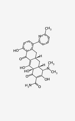 Cc1cccc(-c2ccc(O)c3c2C[C@@H]2C[C@@H]4C(N(C)C)C(O)=C(C(N)=O)C(=O)[C@]4(O)C(O)=C2C3=O)n1